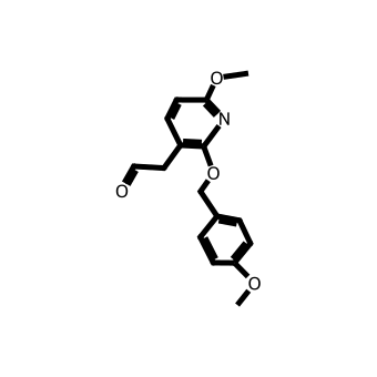 COc1ccc(COc2nc(OC)ccc2CC=O)cc1